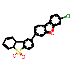 O=S1(=O)c2ccc(-c3ccc4c(c3)oc3cc(Cl)ccc34)cc2C2C=CC=CC21